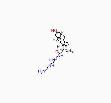 CC(CCC(=O)NCCNCCNCCN)[C@H]1CCC2C3CC[C@@H]4C[C@H](O)CC[C@]4(C)C3CC[C@@]21C